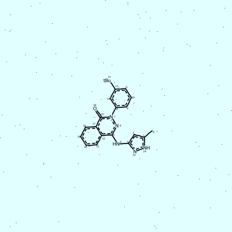 Cc1cc(Nc2nn(-c3cccc(C(C)(C)C)c3)c(=O)c3ccccc23)n[nH]1